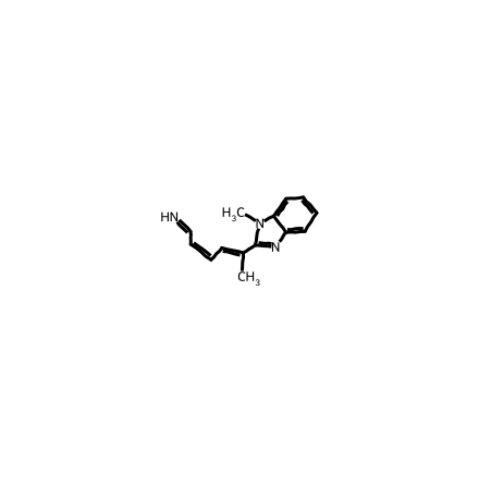 C/C(=C\C=C/C=N)c1nc2ccccc2n1C